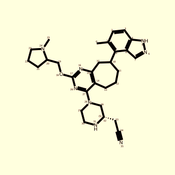 Cc1ccc2[nH]ncc2c1C1CCCc2c(nc(OCC3CCCN3C)nc2N2CCN[C@@H](CC#N)C2)C1